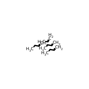 C=CC.C=CCC.C=CCC.C=CCC